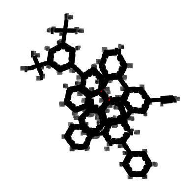 N#Cc1cc(-c2nc(-c3ccccc3)nc(-c3ccccc3)n2)c(-n2c3ccccc3c3cc(-c4cc(C(F)(F)F)cc(C(F)(F)F)c4)ccc32)c(-c2cnccc2-n2c3ccccc3c3ccccc32)c1